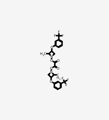 CC1C(Oc2cccc(C(F)(F)F)c2)CN1OC(=O)C(=O)ON1CC(Oc2cccc(C(F)(F)F)c2)C1C